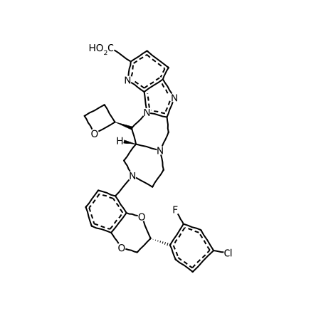 O=C(O)c1ccc2nc3n(c2n1)C([C@@H]1CCO1)[C@H]1CN(c2cccc4c2O[C@H](c2ccc(Cl)cc2F)CO4)CCN1C3